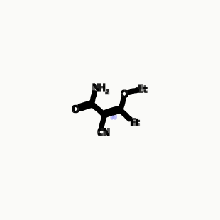 CCO/C(CC)=C(/C#N)C(N)=O